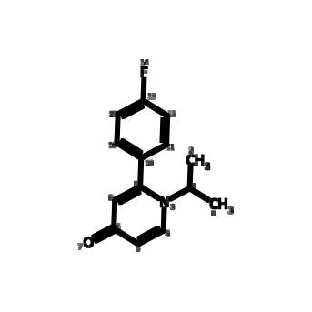 CC(C)n1ccc(=O)cc1-c1ccc(F)cc1